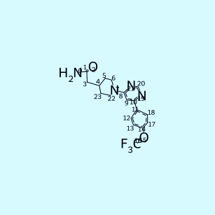 NC(=O)CC1CCN(c2cc(-c3ccc(OC(F)(F)F)cc3)ncn2)CC1